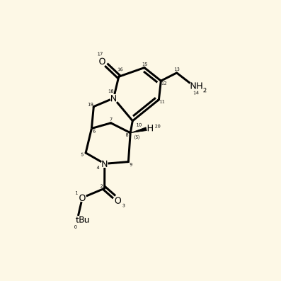 CC(C)(C)OC(=O)N1CC2C[C@@H](C1)c1cc(CN)cc(=O)n1C2